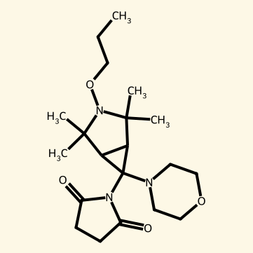 CCCON1C(C)(C)C2C(C1(C)C)C2(N1CCOCC1)N1C(=O)CCC1=O